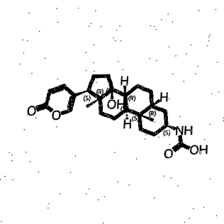 C[C@]12CC[C@H](NC(=O)O)C[C@H]1CC[C@@H]1[C@@H]2CC[C@]2(C)[C@@H](c3ccc(=O)oc3)CC[C@]12O